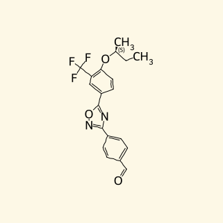 CC[C@H](C)Oc1ccc(-c2nc(-c3ccc(C=O)cc3)no2)cc1C(F)(F)F